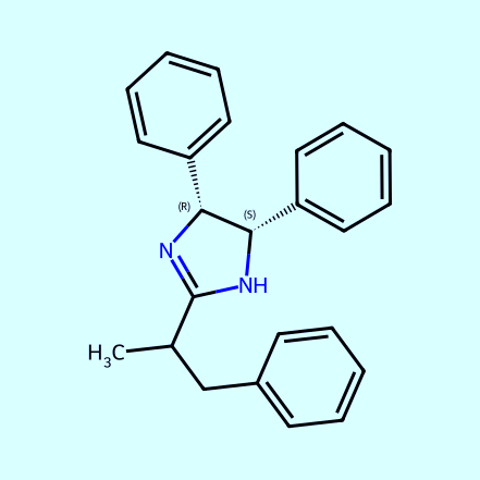 CC(Cc1ccccc1)C1=N[C@H](c2ccccc2)[C@H](c2ccccc2)N1